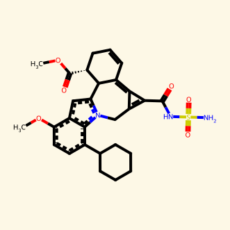 COC(=O)[C@@H]1CC=CC2=C3C(=C3C(=O)NS(N)(=O)=O)Cn3c(cc4c(OC)ccc(C5CCCCC5)c43)C21